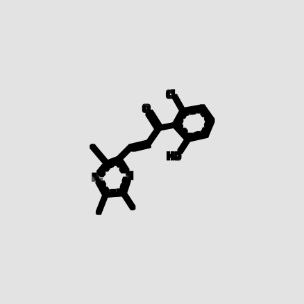 Cc1nc(C)c(/C=C/C(=O)c2c(O)cccc2Cl)nc1C